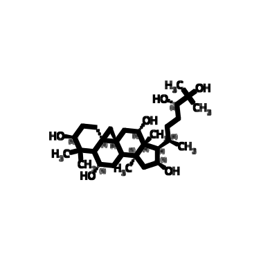 C[C@H](CC[C@H](O)C(C)(C)O)[C@H]1[C@@H](O)C[C@@]2(C)C3C[C@H](O)C4C(C)(C)[C@@H](O)CC[C@@]45C[C@@]35C[C@H](O)[C@]12C